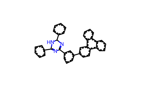 c1ccc(C2=NC(c3cccc(-c4ccc5c6ccccc6c6ccccc6c5c4)c3)=NC(c3ccccc3)N2)cc1